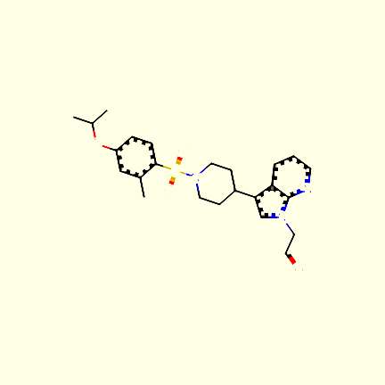 Cc1cc(OC(C)C)ccc1S(=O)(=O)N1CCC(c2cn(CC=O)c3ncccc23)CC1